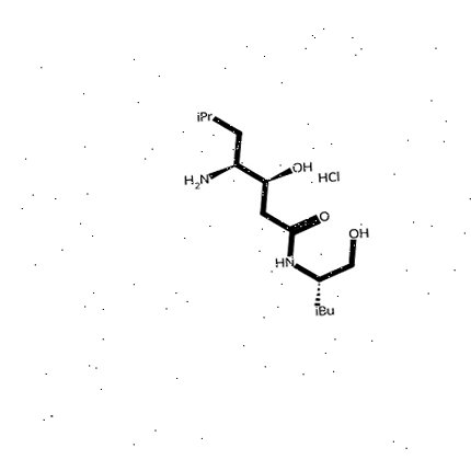 CCC(C)[C@@H](CO)NC(=O)C[C@H](O)[C@@H](N)CC(C)C.Cl